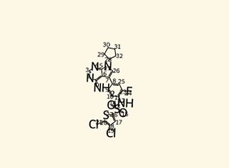 Nc1ncnc2c1c(-c1ccc(NS(=O)(=O)c3cc(Cl)c(Cl)s3)c(F)c1)cn2C1CCCC1